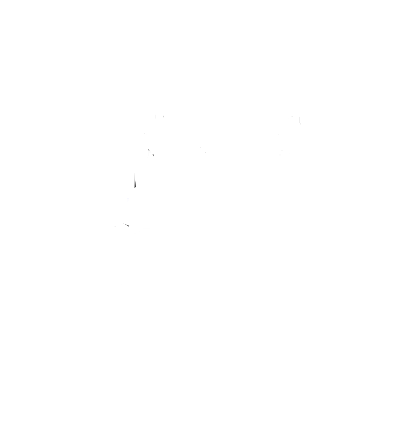 O=C(O)CCCSCCN1C(=O)CC[C@@H]1/C=C/[C@@H](O)Cc1cccc(-c2ccc3ccccc3c2)c1